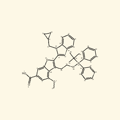 COc1cc(C(=O)O)cc2oc(-c3cc4ccccc4n3CC3CC3)c(CCO[Si](c3ccccc3)(c3ccccc3)C(C)(C)C)c12